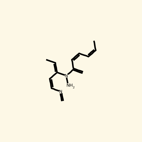 C=N/C=C\C(=C/C)N(N)C(=C)/C=C\C=C/C